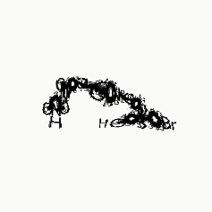 O=C1CC[C@H](N2Cc3cc(OCCOC4CCN(CCOc5ccc(Oc6c(-c7ccc(Br)cc7)sc7cc(O)ccc67)cc5)CC4)ccc3C2=O)C(=O)N1